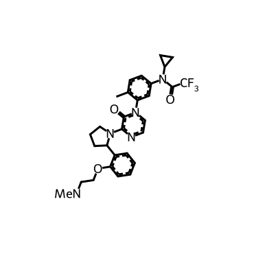 CNCCOc1ccccc1C1CCCN1c1nccn(-c2cc(N(C(=O)C(F)(F)F)C3CC3)ccc2C)c1=O